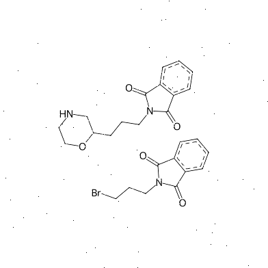 O=C1c2ccccc2C(=O)N1CCCBr.O=C1c2ccccc2C(=O)N1CCCC1CNCCO1